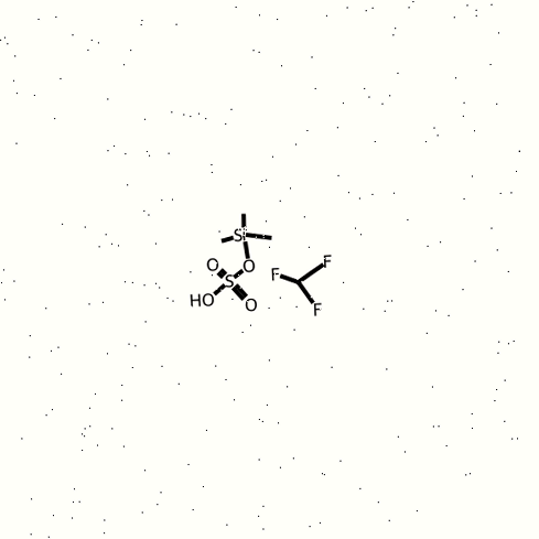 C[Si](C)(C)OS(=O)(=O)O.FC(F)F